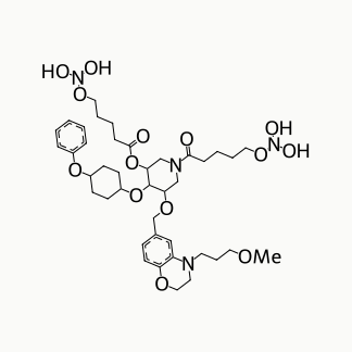 COCCCN1CCOc2ccc(COC3CN(C(=O)CCCCON(O)O)CC(OC(=O)CCCCON(O)O)C3OC3CCC(Oc4ccccc4)CC3)cc21